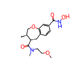 COCCN(C)C(=O)C1Cc2ccc(C(=O)NO)cc2OC[C@@H]1C